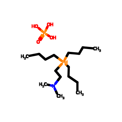 CCCC[PH](CCCC)(CCCC)CCN(C)C.O=P(O)(O)O